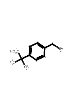 CC(C)Cc1ccc(C(C(=O)O)(C(F)(F)F)C(F)(F)F)cc1